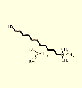 C[N+](C)(C)CCCCCCCCCCCS.C[S+](C)[O-].[Br-]